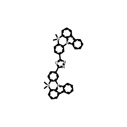 C[Si]1(C)c2ccc(-c3nnc(-c4ccc5c(c4)-n4c6ccccc6c6cccc(c64)[Si]5(C)C)o3)cc2-n2c3ccccc3c3cccc1c32